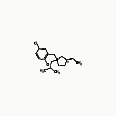 CC(C)C[N+]1(Cc2cc(Cl)ccc2Cl)CC[C@H](CN)C1